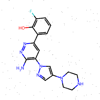 Nc1nnc(-c2cccc(F)c2O)cc1-n1cc(N2CCNCC2)cn1